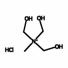 C[N+](CO)(CO)CO.Cl